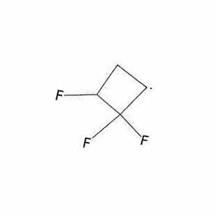 FC1C[CH]C1(F)F